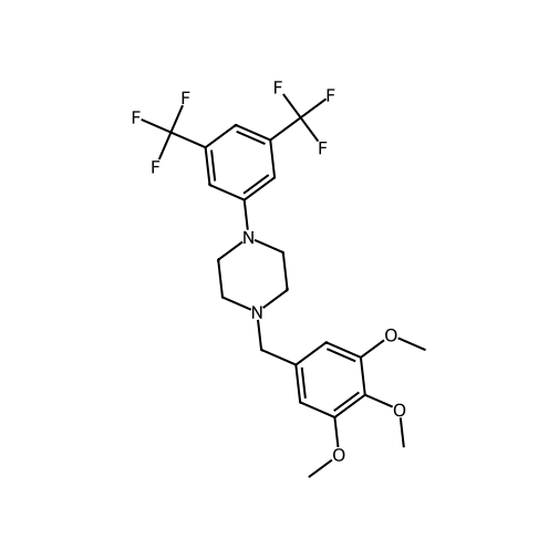 COc1cc(CN2CCN(c3cc(C(F)(F)F)cc(C(F)(F)F)c3)CC2)cc(OC)c1OC